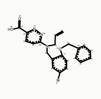 C=CCN(Cc1cc(Br)ccc1OCc1ccccc1)c1ccc(C(=O)O)nn1